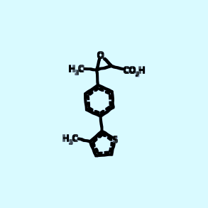 Cc1ccsc1-c1ccc(C2(C)OC2C(=O)O)cc1